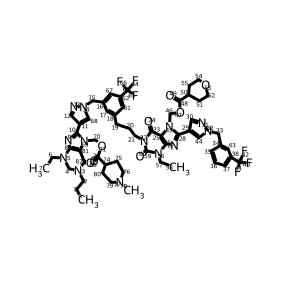 CCCN1CN(CC)c2nc(-c3cnn(Cc4cc(CCCn5c(=O)c6c(nc(-c7cnn(Cc8cccc(C(F)(F)F)c8)c7)n6COC(=O)C6CCOCC6)n(CC)c5=O)cc(C(F)(F)F)c4)c3)n(COC(=O)C3CCN(C)CC3)c2C1=O